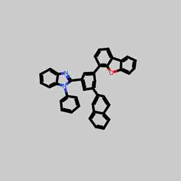 c1ccc(-n2c(-c3cc(-c4ccc5ccccc5c4)cc(-c4cccc5c4oc4ccccc45)c3)nc3ccccc32)cc1